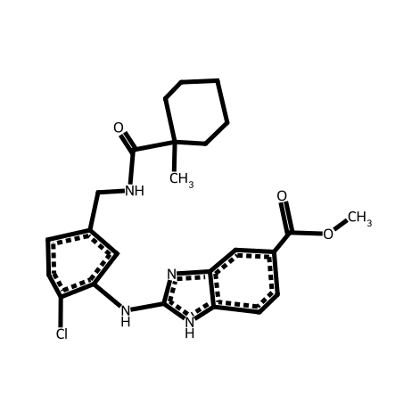 COC(=O)c1ccc2[nH]c(Nc3cc(CNC(=O)C4(C)CCCCC4)ccc3Cl)nc2c1